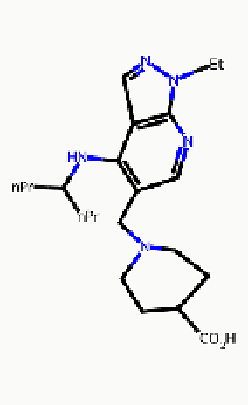 CCCC(CCC)Nc1c(CN2CCC(C(=O)O)CC2)cnc2c1cnn2CC